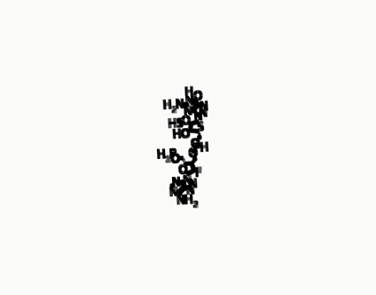 Nc1nc2c(nnn2[C@@H]2S[C@H](COPOC[C@H]3[C@H](F)[C@H](n4nnc5c(N)ncnc54)O[C@@H]3COP)[C@@H](O)[C@H]2OS)c(=O)[nH]1